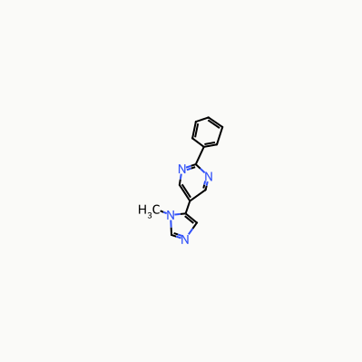 Cn1cncc1-c1cnc(-c2ccccc2)nc1